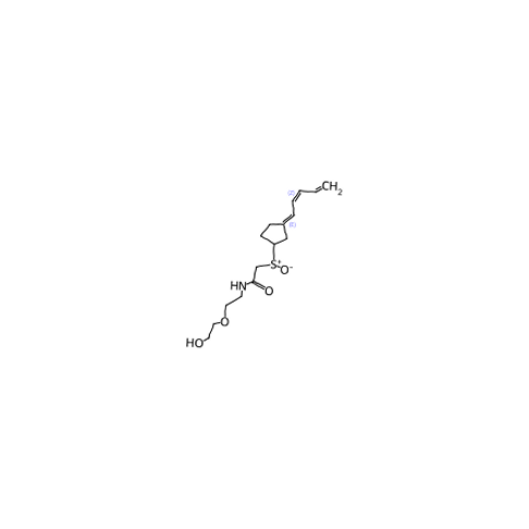 C=C/C=C\C=C1/CCC([S+]([O-])CC(=O)NCCOCCO)C1